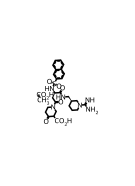 CC(=O)O.N=C(N)N1CCC[C@@H](CNC(=O)[C@@H](CC(=O)N2CCC(=O)C(C(=O)O)C2)NS(=O)(=O)c2ccc3ccccc3c2)C1